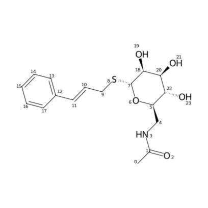 CC(=O)NC[C@H]1O[C@H](SC/C=C/c2ccccc2)[C@@H](O)[C@@H](O)[C@@H]1O